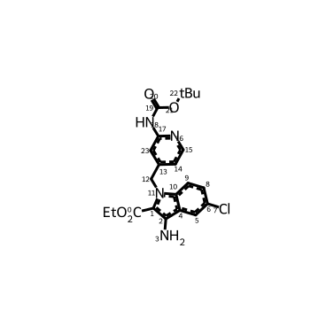 CCOC(=O)c1c(N)c2cc(Cl)ccc2n1Cc1ccnc(NC(=O)OC(C)(C)C)c1